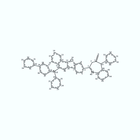 C=C1CC(c2ccc3c(c2)oc2c4ccccc4c(N(c4ccccc4)c4ccc(-c5ccccc5)cc4)cc32)=Nc2ccccc2C1c1ccccc1